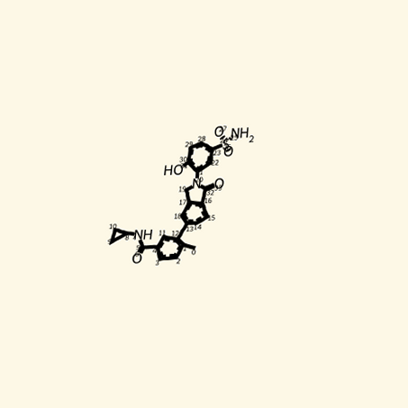 Cc1ccc(C(=O)NC2CC2)cc1-c1ccc2c(c1)CN(c1cc(S(N)(=O)=O)ccc1O)C2=O